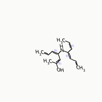 C=C/C=C(\C=C/C)NC(/C=C(\C)O)=C/C=C